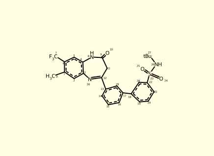 Cc1cc2c(cc1C(F)(F)F)NC(=O)CC(c1cccc(-c3cccc(S(=O)(=O)NC(C)(C)C)c3)c1)=N2